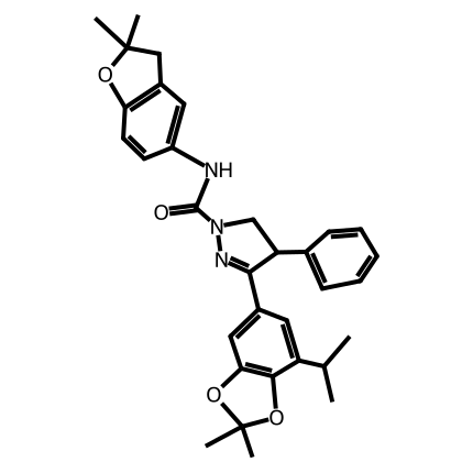 CC(C)c1cc(C2=NN(C(=O)Nc3ccc4c(c3)CC(C)(C)O4)CC2c2ccccc2)cc2c1OC(C)(C)O2